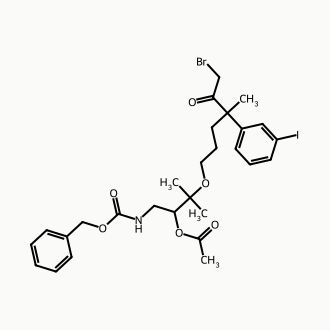 CC(=O)OC(CNC(=O)OCc1ccccc1)C(C)(C)OCCCC(C)(C(=O)CBr)c1cccc(I)c1